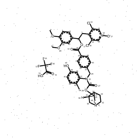 COc1ccc(C(Cc2c(Cl)c[n+]([O-])cc2Cl)OC(=O)c2ccc(CN(C(=O)O[C@H]3CN4CCC3CC4)c3cc(O)ccc3C)cc2)cc1OC.O=C(O)C(F)(F)F